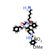 COc1ccc(NC(=S)N2CCc3c(sc4c3C(c3ccccc3Cl)N(C(=O)CCCCCCN)CC(=O)N4CCc3ccccc3)C2)c([N+](=O)[O-])c1